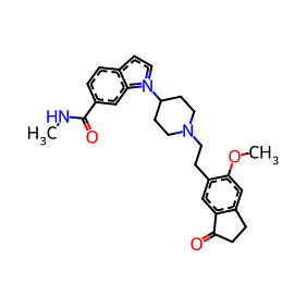 CNC(=O)c1ccc2ccn(C3CCN(CCc4cc5c(cc4OC)CCC5=O)CC3)c2c1